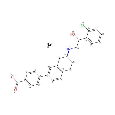 O=C([O-])c1ccc(-c2ccc3c(c2)C[C@@H](NC[C@H](O)c2ccccc2Cl)CC3)cc1.[Na+]